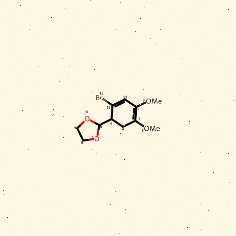 COC1=C(OC)CC(C2OCCO2)C(Br)=C1